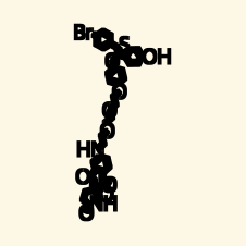 O=C1CCC(N2C(=O)c3ccc(NCCOCCOCCOc4ccc(Oc5c(-c6ccc(Br)cc6)sc6cc(O)ccc56)cc4)cc3C2=O)C(=O)N1